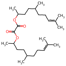 CC(C)=CCCC(C)CCC(C)OC(=O)C(=O)OC(C)CCC(C)CCC=C(C)C